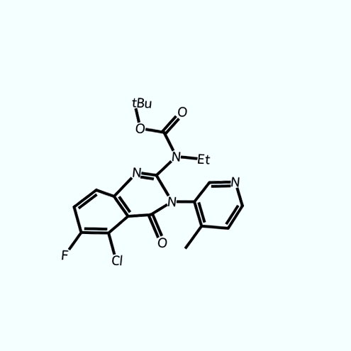 CCN(C(=O)OC(C)(C)C)c1nc2ccc(F)c(Cl)c2c(=O)n1-c1cnccc1C